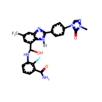 CCn1c(-c2ccc(-n3cnn(C)c3=O)cc2)nc2cc(C(F)(F)F)cc(C(O)Nc3cccc(C(N)=O)c3F)c21